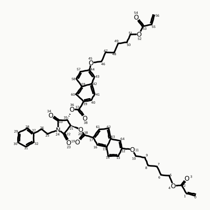 C=CC(=O)OCCCCCCOc1ccc2cc(C(=O)O[C@H]3C(=O)N(CCc4ccccc4)C(=O)[C@@H]3OC(=O)c3ccc4cc(OCCCCCCOC(=O)C=C)ccc4c3)ccc2c1